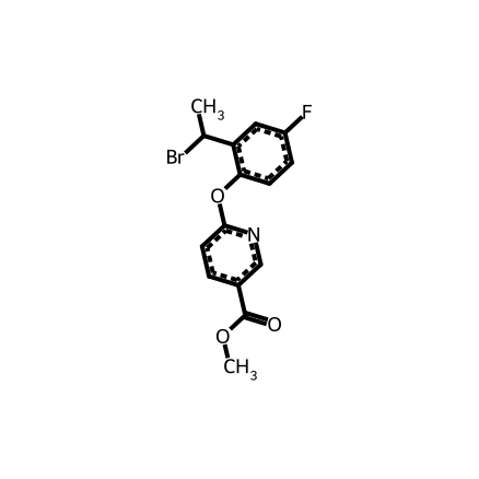 COC(=O)c1ccc(Oc2ccc(F)cc2C(C)Br)nc1